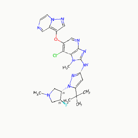 CN1C[C@H](F)[C@@H](n2nc(Nc3nc4ncc(Oc5cnn6ccncc56)c(Cl)c4n3C)cc2C(C)(C)C)C1